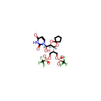 O=c1ccn([C@H](O)[C@@H]2OC3(CCCC3)O[C@@H]2C(COS(=O)(=O)C(F)(F)F)COS(=O)(=O)C(F)(F)F)c(=O)[nH]1